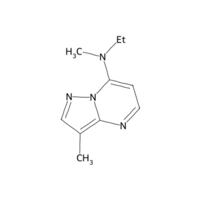 CCN(C)c1ccnc2c(C)cnn12